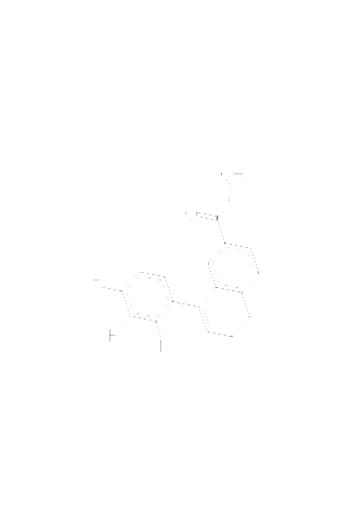 COC(=O)c1ccc2c(c1)C(c1ccc(F)c(F)c1F)=CCC2